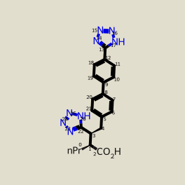 CCC[C@H](C(=O)O)[C@H](Cc1ccc(-c2ccc(-c3nnn[nH]3)cc2)cc1)c1nnn[nH]1